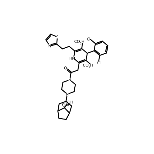 CCCCC1(O)C2CCC1CC(N1CCN(C(=O)CC3=C(C(=O)O)C(c4c(Cl)cccc4Cl)C(C(=O)O)=C(CCc4nccs4)N3)CC1)C2